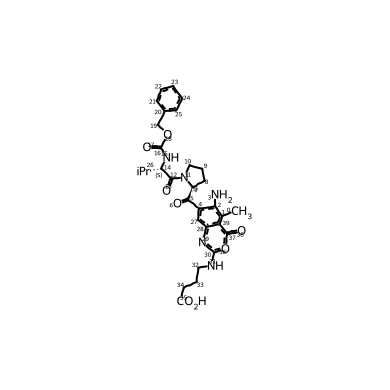 Cc1c(N)c(C(=O)[C@@H]2CCCN2C(=O)[C@@H](NC(=O)OCc2ccccc2)C(C)C)cc2nc(NCCCC(=O)O)oc(=O)c12